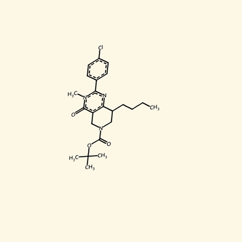 CCCCC1CN(C(=O)OC(C)(C)C)Cc2c1nc(-c1ccc(Cl)cc1)n(C)c2=O